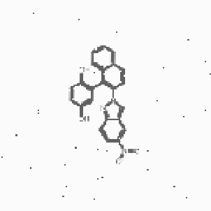 O=[N+]([O-])c1ccc2nn(-c3ccc4ccccc4c3-c3cc(O)ccc3O)cc2c1